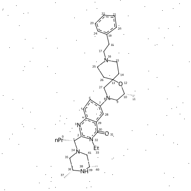 CCC[C@H](c1nc2ccc(N3C[C@@H](C)OC4(CCN(CCc5ccccc5)CC4)C3)cc2c(=O)n1CC)N1C[C@@H](C)N[C@@H](C)C1